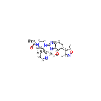 Cc1noc(C)c1-c1ccc2nc(N3CCN(C(=O)C(C)C)[C@@H](C)C3)n3c2c1OC[C@@H]3c1ccccn1